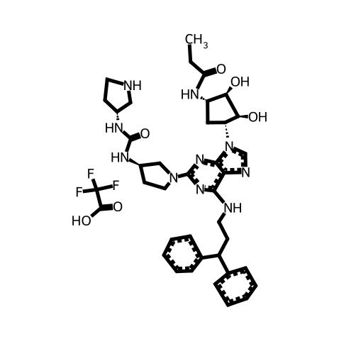 CCC(=O)N[C@H]1C[C@@H](n2cnc3c(NCCC(c4ccccc4)c4ccccc4)nc(N4CC[C@@H](NC(=O)N[C@@H]5CCNC5)C4)nc32)[C@H](O)[C@@H]1O.O=C(O)C(F)(F)F